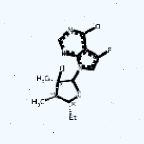 CC[C@H]1OC(n2cc(F)c3c(Cl)ncnc32)[C@](C)(Cl)[C@@H]1C